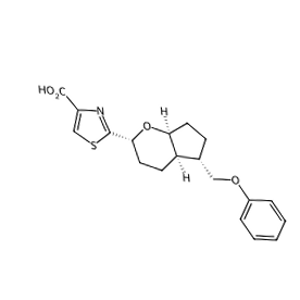 O=C(O)c1csc([C@H]2CC[C@@H]3[C@@H](COc4ccccc4)CC[C@@H]3O2)n1